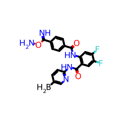 Bc1ccc(NC(=O)c2cc(F)c(F)cc2NC(=O)c2ccc(C(=N)ON)cc2)nc1